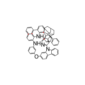 c1ccc(-c2cccc(-c3ccccc3)c2Nc2ccccc2Nc2cccc(Oc3ccc4c5ccccc5n(-c5cc(C6(c7ccccc7)C7CC8CC(C7)CC6C8)ccn5)c4c3)c2)cc1